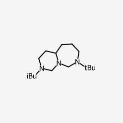 CCC(C)N1CCC2CCCN(C(C)(C)C)CN2C1